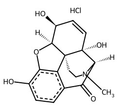 CN1CC[C@]23c4c5ccc(O)c4O[C@H]2[C@@H](O)C=C[C@@]3(O)[C@H]1C5=O.Cl